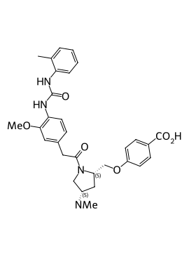 CN[C@H]1C[C@@H](COc2ccc(C(=O)O)cc2)N(C(=O)Cc2ccc(NC(=O)Nc3ccccc3C)c(OC)c2)C1